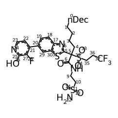 CCCCCCCCCCCCCCC(C(=O)NCCS(N)(=O)=O)(c1nc2ccc(-c3ccnc(O)c3F)cc2s1)S(=O)(=O)CCC(F)(F)F